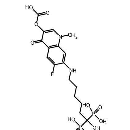 Cn1cc(OC(=O)O)c(=O)c2cc(F)c(NCCCCCC(O)(P(=O)(O)O)P(=O)(O)O)cc21